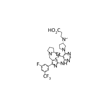 CC[C@@H]1CCCN1Cc1sc(Nc2ncnc(N3CC[C@H](N(C)CCC(=O)O)C3)c2F)nc1-c1cc(F)cc(C(F)(F)F)c1